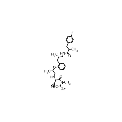 CC(=O)[C@@H](C)N(C)C(=O)[C@@H](NC[C@@H](C)Oc1ccccc1C[C@H](C)CNC(=O)[C@H](C)Cc1ccc(F)cc1)C1CC1